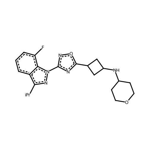 CC(C)c1nn(-c2noc(C3CC(NC4CCOCC4)C3)n2)c2c(F)cccc12